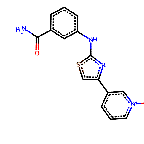 NC(=O)c1cccc(Nc2nc(-c3ccc[n+]([O-])c3)cs2)c1